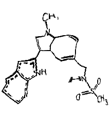 CN1C=C(c2cc3cccnc3[nH]2)C2C=C(CNS(C)(=O)=O)C=CC21